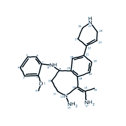 COc1ccccc1NC1CCN(N)/C(=C(/C)N)c2ccc(C3=CCNCC3)cc21